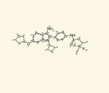 CC(OC(=O)Nc1ccc(-c2c(N)c3ccc(OC4CCOC4)cc3n2C2CCC2)cc1)C(F)(F)F